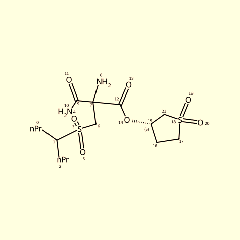 CCCC(CCC)S(=O)(=O)CC(N)(C(N)=O)C(=O)O[C@H]1CCS(=O)(=O)C1